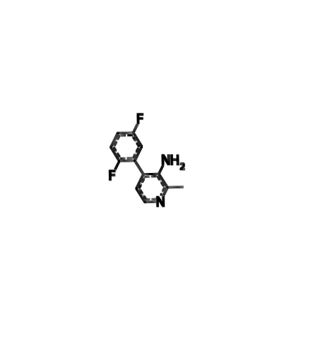 Cc1nccc(-c2cc(F)ccc2F)c1N